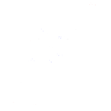 NC(=O)c1c(Nc2ccc(C(=O)O)cc2)n[nH]c1/N=C/c1ccc(O)cc1